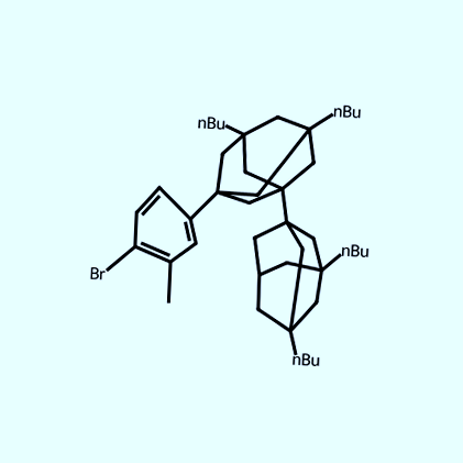 CCCCC12CC3CC(CCCC)(C1)CC(C14CC5(CCCC)CC(CCCC)(CC(c6ccc(Br)c(C)c6)(C5)C1)C4)(C3)C2